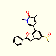 Cc1cc(-c2cc([S+](C)[O-])cc3cc(-c4ccccc4)oc23)cn(C)c1=O